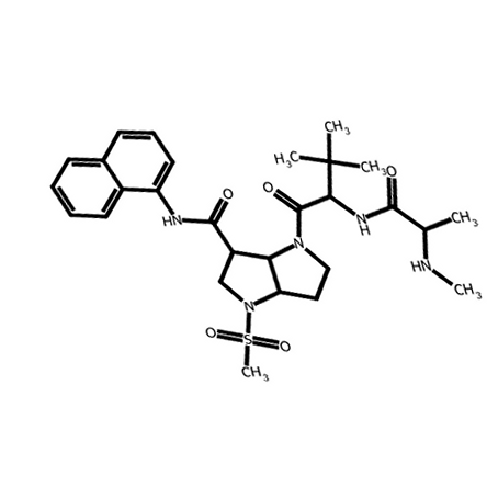 CNC(C)C(=O)NC(C(=O)N1CCC2C1C(C(=O)Nc1cccc3ccccc13)CN2S(C)(=O)=O)C(C)(C)C